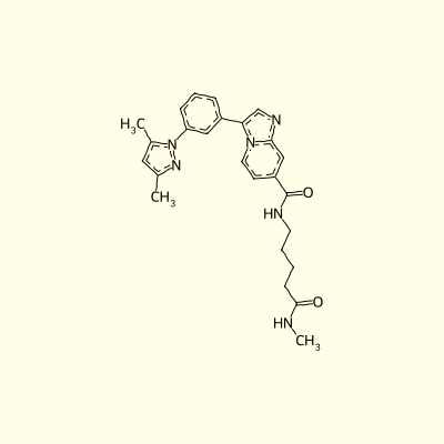 CNC(=O)CCCCNC(=O)c1ccn2c(-c3cccc(-n4nc(C)cc4C)c3)cnc2c1